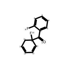 O=C(c1ccccc1F)C1(F)C=CC=CC1